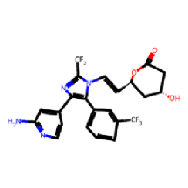 Nc1cc(-c2nc(C(F)(F)F)n(/C=C/[C@@H]3C[C@@H](O)CC(=O)O3)c2-c2cccc(C(F)(F)F)c2)ccn1